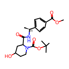 COC(=O)c1ccc([C@H](C)NC(=O)C2CC(O)CCN2C(=O)OC(C)(C)C)cc1